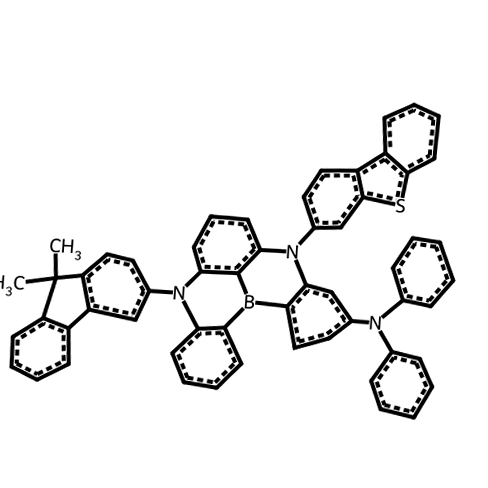 CC1(C)c2ccccc2-c2cc(N3c4ccccc4B4c5ccc(N(c6ccccc6)c6ccccc6)cc5N(c5ccc6c(c5)sc5ccccc56)c5cccc3c54)ccc21